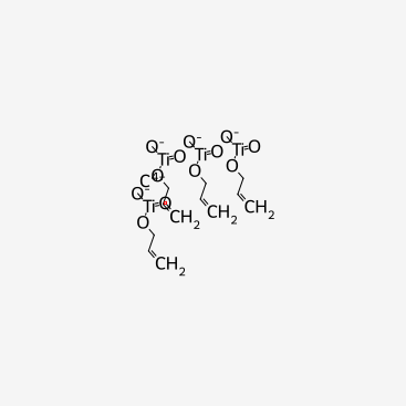 C=CC[O][Ti](=[O])[O-].C=CC[O][Ti](=[O])[O-].C=CC[O][Ti](=[O])[O-].C=CC[O][Ti](=[O])[O-].[C+4]